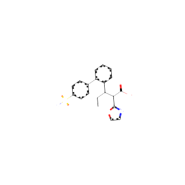 CCC(c1ccccc1-c1ccc(S(N)(=O)=O)cc1)C(C(=O)O)c1ncco1